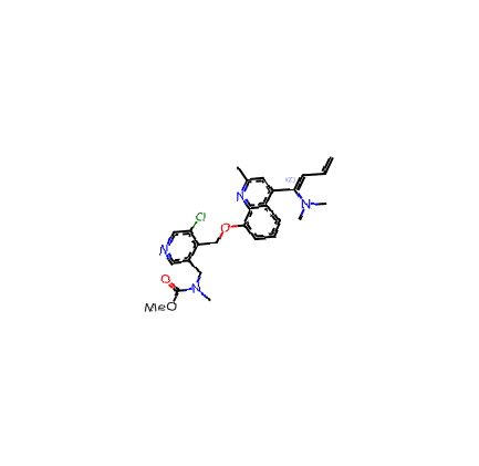 C=C/C=C(/c1cc(C)nc2c(OCc3c(Cl)cncc3CN(C)C(=O)OC)cccc12)N(C)C